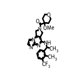 COC1(C(=O)N2Cc3c(NC(C)c4cccc(C(F)(F)F)c4C)nc4nccn4c3C2)CCOCC1